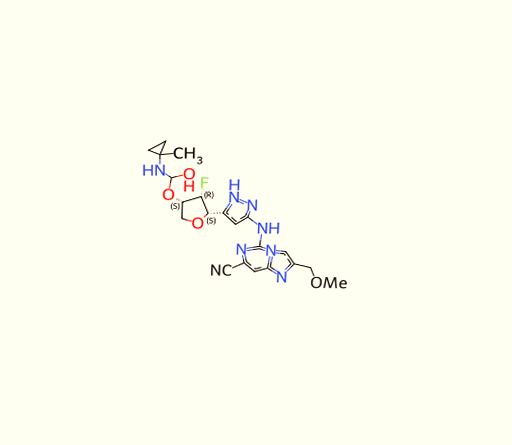 COCc1cn2c(Nc3cc([C@@H]4OC[C@H](OC(O)NC5(C)CC5)[C@@H]4F)[nH]n3)nc(C#N)cc2n1